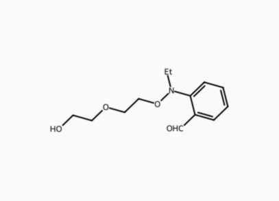 CCN(OCCOCCO)c1ccccc1C=O